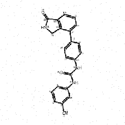 N#Cc1cccc(NC(=O)Nc2ccc(-c3cccc4c3CNC4=O)cc2)c1